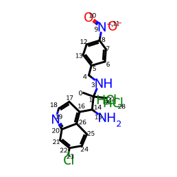 CC(C)(NCc1ccc([N+](=O)[O-])cc1)C(N)c1ccnc2cc(Cl)ccc12.Cl.Cl